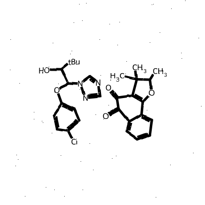 CC(C)(C)C(O)C(Oc1ccc(Cl)cc1)n1cncn1.CC1OC2=C(C(=O)C(=O)c3ccccc32)C1(C)C